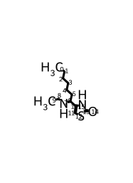 CCCCCCC(NCC)c1csc(=O)[nH]1